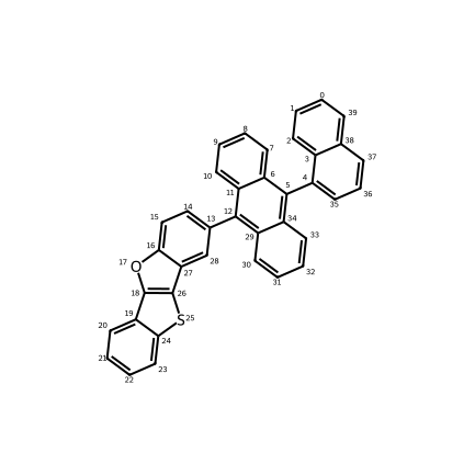 c1ccc2c(-c3c4ccccc4c(-c4ccc5oc6c7ccccc7sc6c5c4)c4ccccc34)cccc2c1